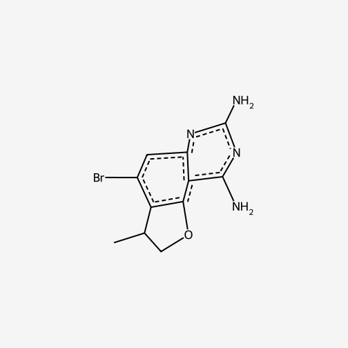 CC1COc2c1c(Br)cc1nc(N)nc(N)c21